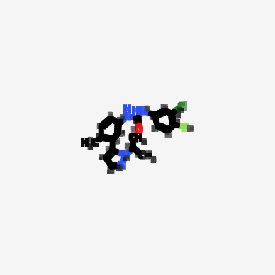 Cc1ccc(NC(=O)Nc2ccc(F)c(Cl)c2)cc1-c1ccnn1C(C)C